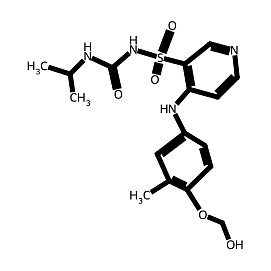 Cc1cc(Nc2ccncc2S(=O)(=O)NC(=O)NC(C)C)ccc1OCO